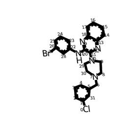 Clc1cccc(CN2CCN(c3nc4ccccc4nc3Nc3cccc(Br)c3)CC2)c1